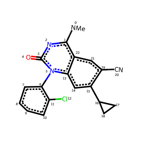 CNc1nc(=O)n(-c2ccccc2Cl)c2cc(C3CC3)c(C#N)cc12